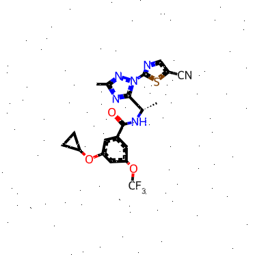 Cc1nc([C@H](C)NC(=O)c2cc(OC3CC3)cc(OC(F)(F)F)c2)n(-c2ncc(C#N)s2)n1